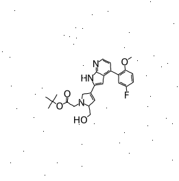 COc1ccc(F)cc1-c1ccnc2[nH]c(C3=CC(CO)N(CC(=O)OC(C)(C)C)C3)cc12